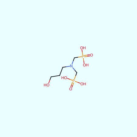 O=P(O)(O)CN(CCCO)CP(=O)(O)O